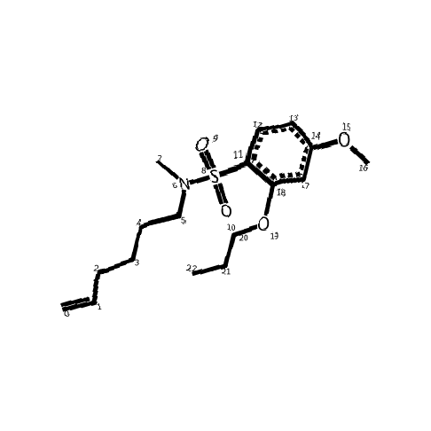 C=CCCCCN(C)S(=O)(=O)c1ccc(OC)cc1OCCC